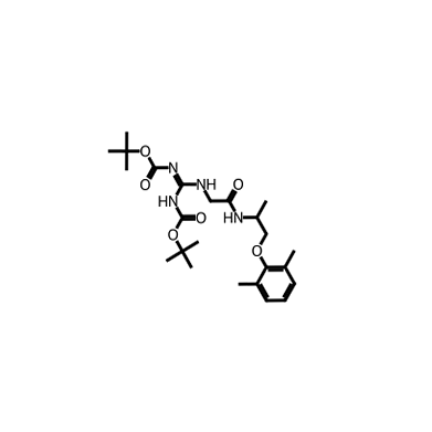 Cc1cccc(C)c1OCC(C)NC(=O)CN/C(=N/C(=O)OC(C)(C)C)NC(=O)OC(C)(C)C